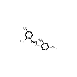 Cc1ccc(P=NPc2ccc(C)cc2C)c(C)c1